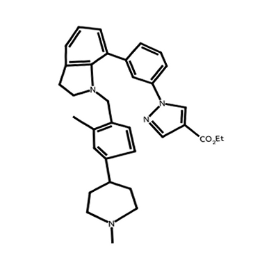 CCOC(=O)c1cnn(-c2cccc(-c3cccc4c3N(Cc3ccc(C5CCN(C)CC5)cc3C)CC4)c2)c1